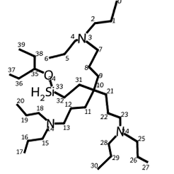 CCCN(CCC)CCCC(CCCN(CCC)CCC)(CCCN(CCC)CCC)CC[SiH2]OC(CC)CC